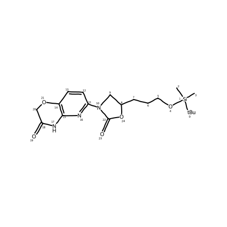 CC(C)(C)[Si](C)(C)OCCCC1CN(c2ccc3c(n2)NC(=O)CO3)C(=O)O1